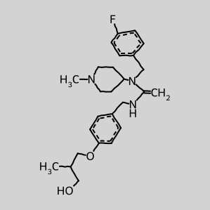 C=C(NCc1ccc(OCC(C)CO)cc1)N(Cc1ccc(F)cc1)C1CCN(C)CC1